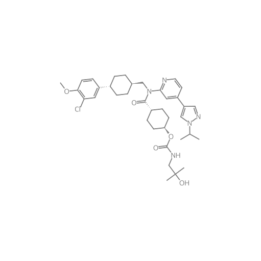 COc1ccc([C@H]2CC[C@H](CN(c3cc(-c4cnn(C(C)C)c4)ccn3)C(=O)[C@H]3CC[C@H](OC(=O)NCC(C)(C)O)CC3)CC2)cc1Cl